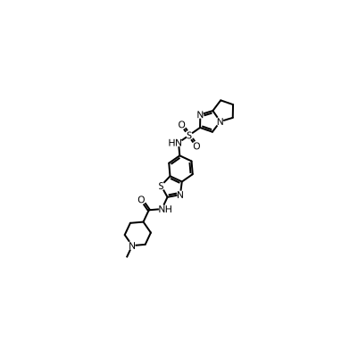 CN1CCC(C(=O)Nc2nc3ccc(NS(=O)(=O)c4cn5c(n4)CCC5)cc3s2)CC1